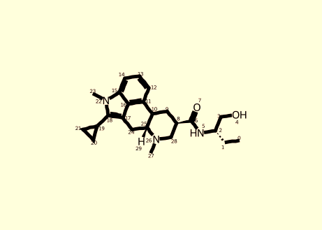 CC[C@@H](CO)NC(=O)[C@@H]1CC2c3cccc4c3c(c(C3CC3)n4C)C[C@H]2N(C)C1